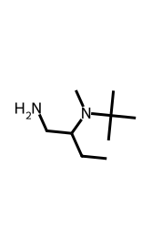 CCC(CN)N(C)C(C)(C)C